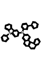 c1ccc(-c2cccc(N(c3ccc4c(ccc5ccc6ccccc6c54)c3)c3ccc4c(c3)c3ccccc3n4-c3ccccc3)c2)cc1